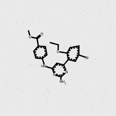 CCOc1ccc(Br)cc1-c1cc(Nc2ccc(C(=O)OC)cc2)nc(N)n1